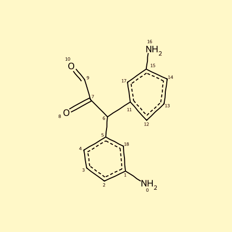 Nc1cccc(C(C(=O)C=O)c2cccc(N)c2)c1